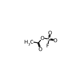 CC(=O)OS(=O)(=O)F